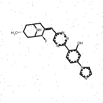 C[C@@H]1CC2C/C(=C/c3cnc(-c4ccc(-n5ccnc5)cc4O)nn3)[C@@H](F)C(C1)N2